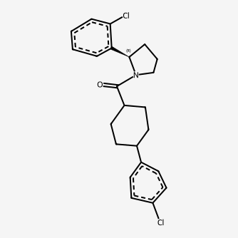 O=C(C1CCC(c2ccc(Cl)cc2)CC1)N1CCC[C@@H]1c1ccccc1Cl